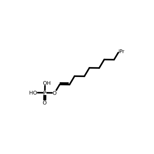 CC(C)CCCCCCC=COP(=O)(O)O